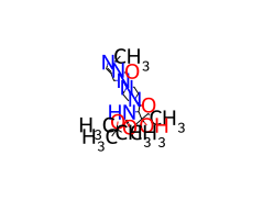 CCC(O)(CC)C(NC(=O)OC(C)(C)C)C(=O)N1CCN(N2Cc3cnc(C)n3C2=O)CC1